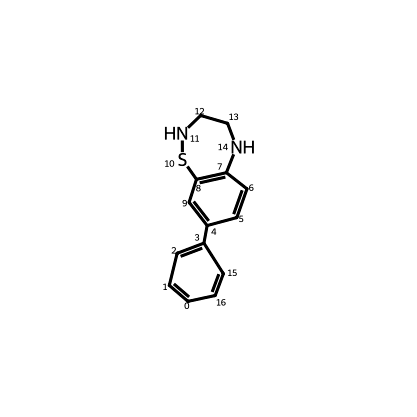 c1ccc(-c2ccc3c(c2)SNCCN3)cc1